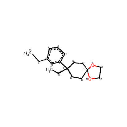 CCc1cccc(C2(CC)CCC3(CC2)OCCO3)c1